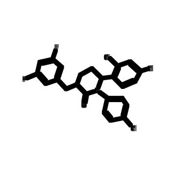 O=C1C(Cc2cc(F)cc(F)c2)CCC(c2ccc(Cl)cc2Cl)N1c1ccc(Cl)cc1